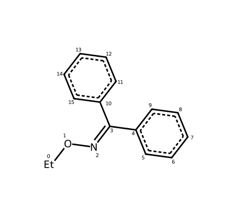 [CH2]CON=C(c1ccccc1)c1ccccc1